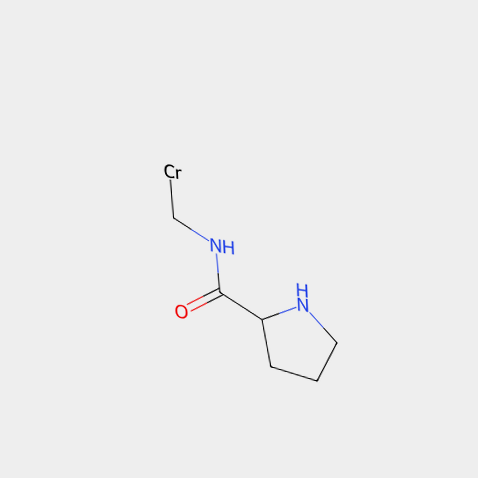 O=C(N[CH2][Cr])C1CCCN1